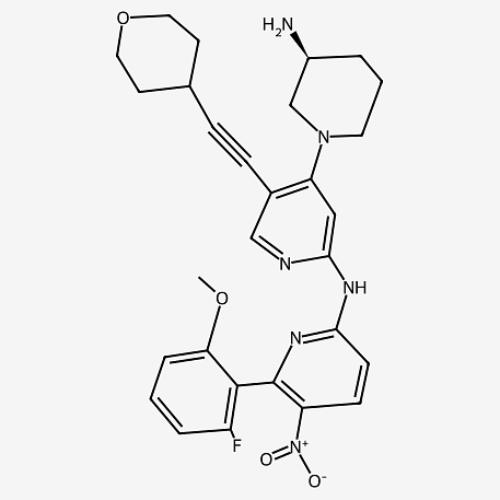 COc1cccc(F)c1-c1nc(Nc2cc(N3CCC[C@H](N)C3)c(C#CC3CCOCC3)cn2)ccc1[N+](=O)[O-]